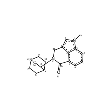 Cn1cc2c3c(cccc31)C(=O)N(C1CN3CCC1CC3)C2